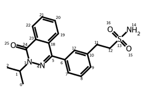 CC(C)n1nc(-c2cccc(CCS(N)(=O)=O)c2)c2ccccc2c1=O